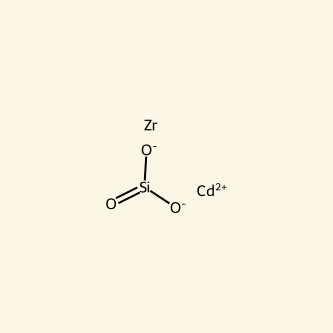 O=[Si]([O-])[O-].[Cd+2].[Zr]